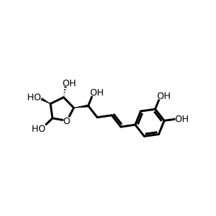 Oc1ccc(C=CCC(O)[C@H]2OC(O)[C@@H](O)[C@@H]2O)cc1O